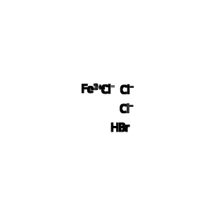 Br.[Cl-].[Cl-].[Cl-].[Fe+3]